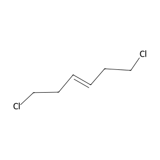 ClCC/C=C/CCCl